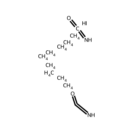 C.C.C.C.C.C.C.C.C.I.N=C=O.N=C=O